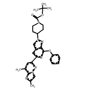 Cc1cn2nc(-c3cc4cn(C5CCN(C(=O)OC(C)(C)C)CC5)nc4c(Oc4ccccc4)n3)cc(C)c2n1